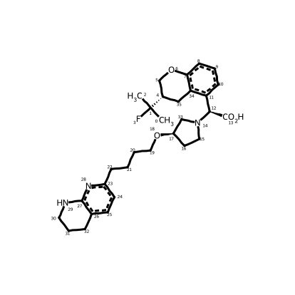 CC(C)(F)[C@@H]1COc2cccc([C@@H](C(=O)O)N3CC[C@@H](OCCCCc4ccc5c(n4)NCCC5)C3)c2C1